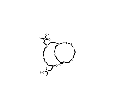 O=S(=O)(O)CN1CCCCCN(CS(=O)(=O)O)CCN2CCOCCOCCN(CCOCC2)CC1